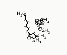 C=CCCCCN=C(C)CC(C)C.CO[Si](OC)OC